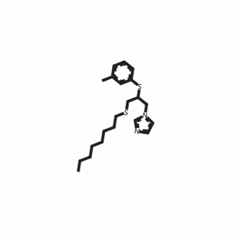 CCCCCCCCSCC(Cn1ccnc1)Sc1cccc(C)c1